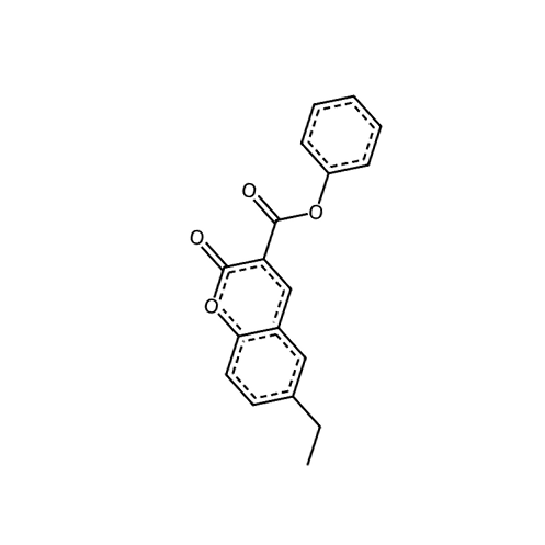 CCc1ccc2oc(=O)c(C(=O)Oc3ccccc3)cc2c1